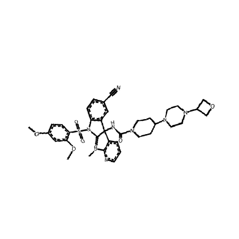 COc1ccc(S(=O)(=O)N2C(=O)C(NC(=O)N3CCC(N4CCN(C5COC5)CC4)CC3)(c3cccnc3OC)c3cc(C#N)ccc32)c(OC)c1